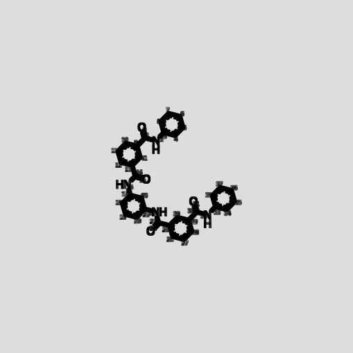 O=C(Nc1ccccc1)c1cccc(C(=O)Nc2cccc(NC(=O)c3cccc(C(=O)Nc4ccccc4)c3)c2)c1